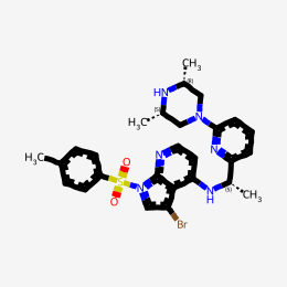 Cc1ccc(S(=O)(=O)n2cc(Br)c3c(N[C@@H](C)c4cccc(N5C[C@@H](C)N[C@@H](C)C5)n4)ccnc32)cc1